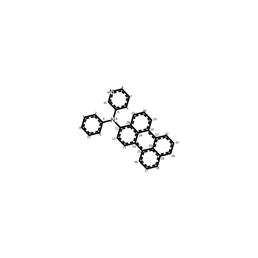 c1ccc(N(c2cccnc2)c2ccc3c4cccc5cccc(c6cccc2c63)c54)cc1